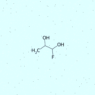 [CH2]C(O)C(O)F